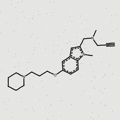 C#CCN(C)Cc1cc2cc(OCCCN3CCCCC3)ccc2n1C